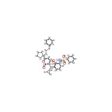 O=c1oc(C2(CCCc3ccccc3)CCCC2)cc(O)c1C(c1cccc(NS(=O)(=O)c2ccccc2)c1)C1CC1